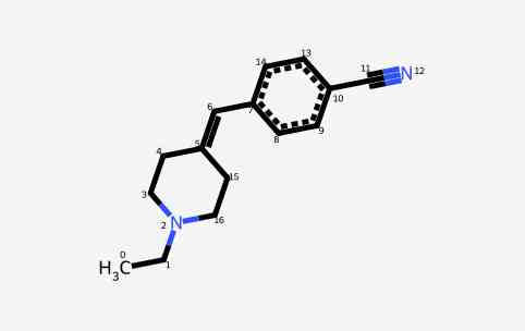 CCN1CCC(=Cc2ccc(C#N)cc2)CC1